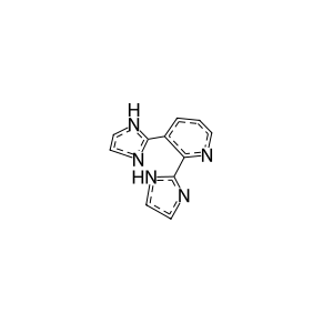 c1cnc(-c2ncc[nH]2)c(-c2ncc[nH]2)c1